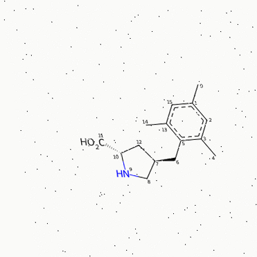 Cc1cc(C)c(C[C@H]2CN[C@H](C(=O)O)C2)c(C)c1